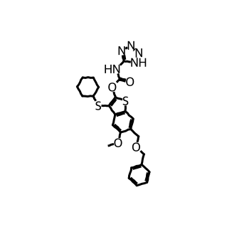 COc1cc2c(SC3CCCCC3)c(OC(=O)Nc3nnn[nH]3)sc2cc1COCc1ccccc1